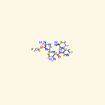 Nc1ccc(-c2cnc(N)c(OCC(F)(F)F)n2)nc1C(=O)Nc1cnccc1N1CCC[C@H](N)C1